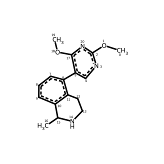 COc1ncc(-c2cccc3c2CCNC3C)c(OC)n1